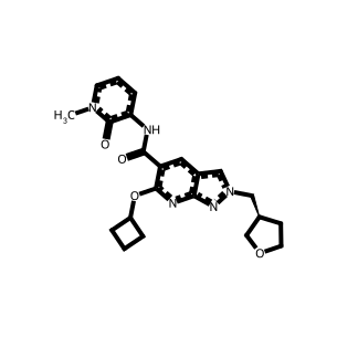 Cn1cccc(NC(=O)c2cc3cn(C[C@H]4CCOC4)nc3nc2OC2CCC2)c1=O